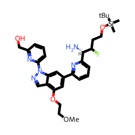 COCCOc1cc(-c2cccc([C@H](N)C(F)CCO[Si](C)(C)C(C)(C)C)n2)cc2c1cnn2-c1cccc(CO)n1